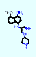 N=C/C(=C\NC1CCNCC1)Nc1ccc(N)c2c(C=O)cccc12